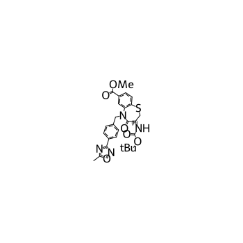 COC(=O)c1ccc2c(c1)N(Cc1ccc(-c3noc(C)n3)cc1)C(=O)[C@@H](NC(=O)OC(C)(C)C)CS2